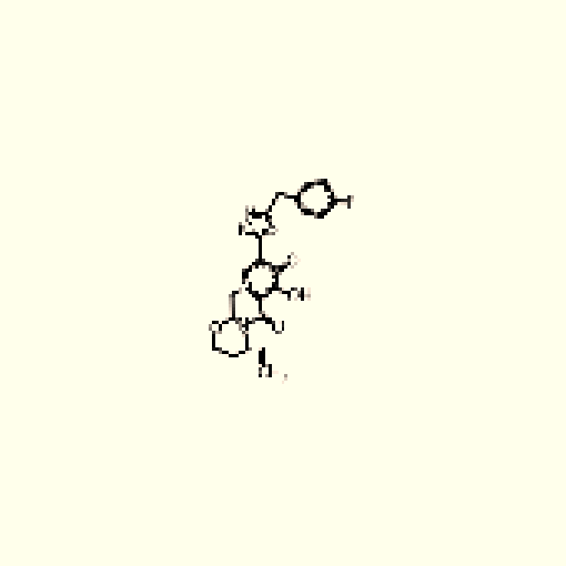 C=C[C@@H]1CCOC2Cn3cc(-c4nnc(Cc5ccc(F)cc5)s4)c(=O)c(O)c3C(=O)N21